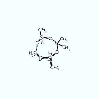 C[SiH]1O[SiH2]O[SiH](C)O[Si](C)(C)O1